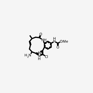 COC(=O)Nc1ccc2c(c1)NC(=O)CC(C)/C=C/CC(N)c1nc-2c(Cl)[nH]1